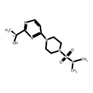 C[C@H](O)c1nccc(N2CCN(S(=O)(=O)N(C)C)CC2)n1